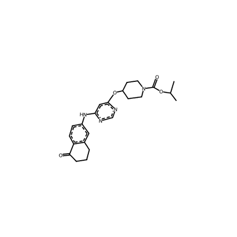 CC(C)OC(=O)N1CCC(Oc2cc(Nc3ccc4c(c3)CCCC4=O)ncn2)CC1